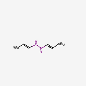 CCCCC=CPPC=CCCCC